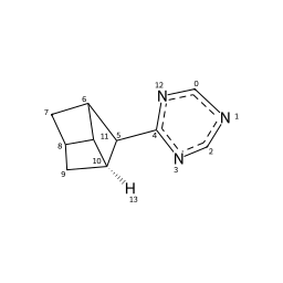 c1ncnc(C2C3CC4C[C@H]2C43)n1